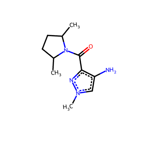 CC1CCC(C)N1C(=O)c1nn(C)cc1N